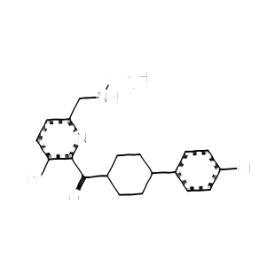 CC(C)c1ccc(CNC(=O)O)nc1C(=O)C1CCC(c2ccc(Cl)cc2)CC1